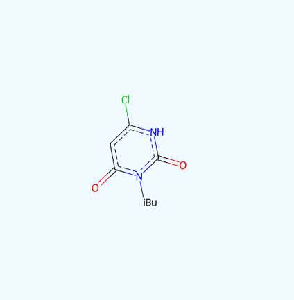 CCC(C)n1c(=O)cc(Cl)[nH]c1=O